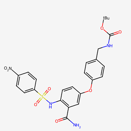 CC(C)(C)OC(=O)NCc1ccc(Oc2ccc(NS(=O)(=O)c3ccc([N+](=O)[O-])cc3)c(C(N)=O)c2)cc1